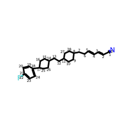 N#CC=CC=CCCC1CCC(CCC2CCC(c3ccc(F)cc3)CC2)CC1